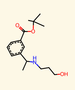 CC(NCCCO)c1cccc(C(=O)OC(C)(C)C)c1